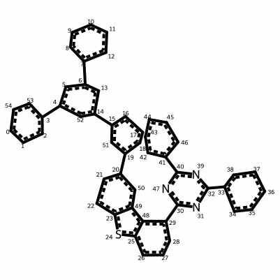 c1ccc(-c2cc(-c3ccccc3)cc(-c3cccc(-c4ccc5sc6cccc(-c7nc(-c8ccccc8)nc(-c8ccccc8)n7)c6c5c4)c3)c2)cc1